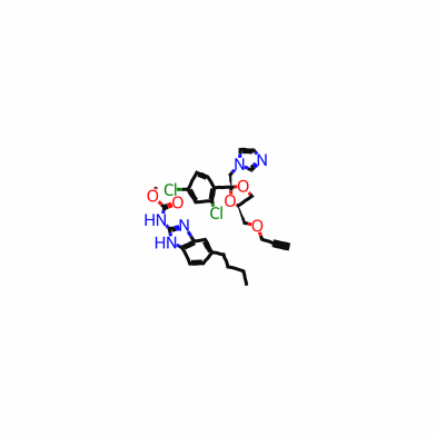 C#CCOC[C@@H]1CO[C@@](Cn2ccnc2)(c2ccc(Cl)cc2Cl)O1.CCCCc1ccc2[nH]c(NC(=O)OC)nc2c1